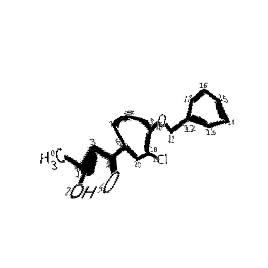 CC(O)=CC(=O)c1ccc(OCc2ccccc2)c(Cl)c1